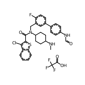 CNC1CCC(N(Cc2cc(-c3ccc(NC=O)cc3)ccc2F)C(=O)c2sc3ccccc3c2Cl)CC1.O=C(O)C(F)(F)F